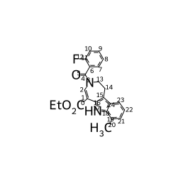 CCOC(=O)C1=CN(C(=O)c2ccccc2F)CCc2c1[nH]c1c(C)cccc21